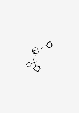 OC(CO[C@@H]1C[N+]2(COc3ccccc3)CCC1CC2)(c1ccccc1)C1CCCC1